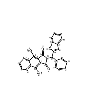 O=C1c2c(c(O)c3nccnc3c2O)C(=O)N1C(c1ccccc1)c1cc2ccccc2o1